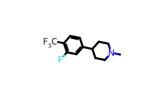 CN1CCC(c2ccc(C(F)(F)F)c(F)c2)CC1